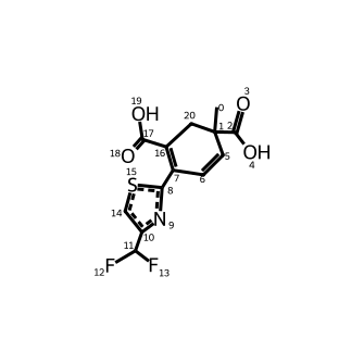 CC1(C(=O)O)C=CC(c2nc(C(F)F)cs2)=C(C(=O)O)C1